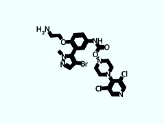 Cn1ncc(Br)c1-c1cc(NC(=O)ON2CCN(c3c(Cl)cncc3Cl)CC2)ccc1OCCN